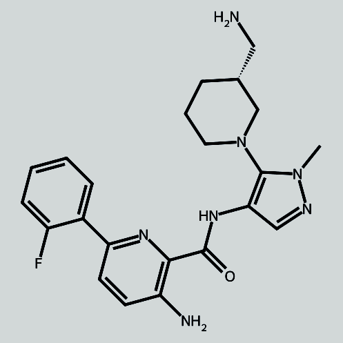 Cn1ncc(NC(=O)c2nc(-c3ccccc3F)ccc2N)c1N1CCC[C@H](CN)C1